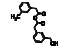 Cc1cccc(CC(=O)OC(=O)Cc2cccc(CO)c2)c1